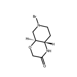 O=C1CO[C@H]2CN(Br)CC[C@@H]2N1